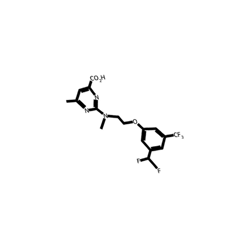 Cc1cc(C(=O)O)nc(N(C)CCOc2cc(C(F)F)cc(C(F)(F)F)c2)n1